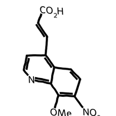 COc1c([N+](=O)[O-])ccc2c(C=CC(=O)O)ccnc12